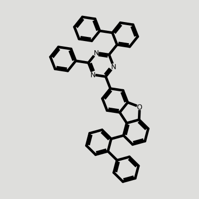 c1ccc(-c2nc(-c3ccc4c(c3)oc3cccc(-c5ccccc5-c5ccccc5)c34)nc(-c3ccccc3-c3ccccc3)n2)cc1